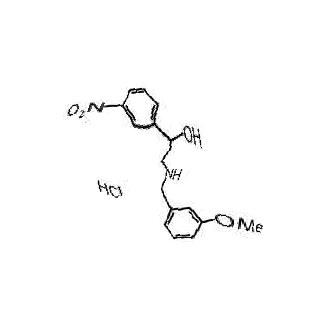 COc1cccc(CNCC(O)c2cccc([N+](=O)[O-])c2)c1.Cl